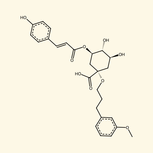 COc1cccc(CCCO[C@@]2(C(=O)O)C[C@H](O)[C@@H](O)[C@H](OC(=O)C=Cc3ccc(O)cc3)C2)c1